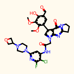 COc1c(-c2cn(CC(=O)Nc3cc(N4CCN(C5COC5)CC4)nc(F)c3Cl)c3nc4n(c(=O)c23)CCC4)cc(C=O)c(O)c1OC